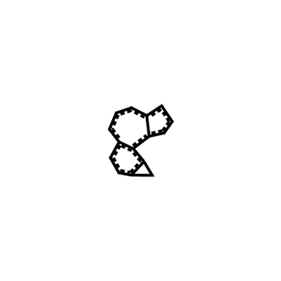 c1cc2cccc3ccc4c(c3c-2c1)C4